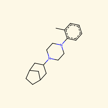 Cc1ccccc1N1CCN(C2CC3CCC(C3)C2)CC1